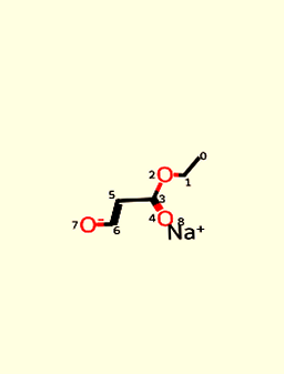 CCOC(=O)C=C[O-].[Na+]